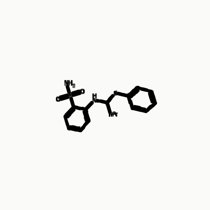 CCCC(Nc1ccccc1S(N)(=O)=O)Sc1ccccc1